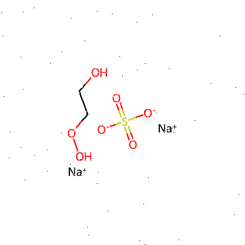 O=S(=O)([O-])[O-].OCCOO.[Na+].[Na+]